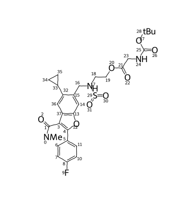 CNC(=O)c1c(-c2ccc(F)cc2)oc2cc(CN(CCOC(=O)CNC(=O)OC(C)(C)C)[SH](=O)=O)c(C3CC3)cc12